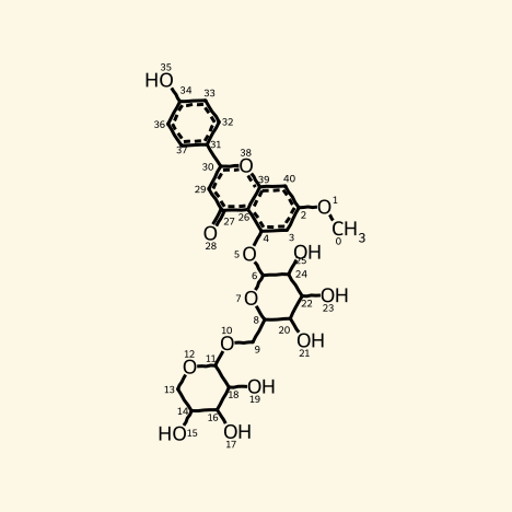 COc1cc(OC2OC(COC3OCC(O)C(O)C3O)C(O)C(O)C2O)c2c(=O)cc(-c3ccc(O)cc3)oc2c1